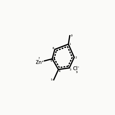 Cc1ccc(C)[c]([Zn+])c1.[Cl-]